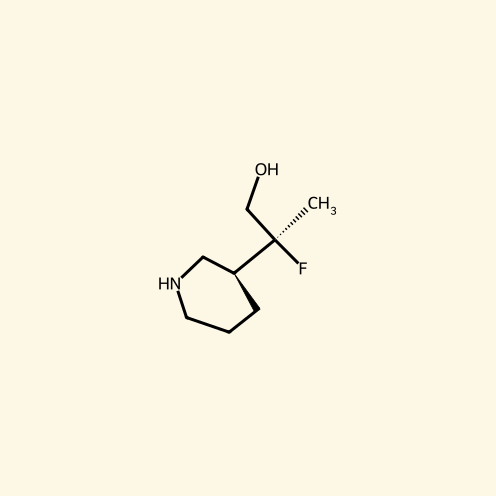 C[C@@](F)(CO)[C@H]1CCCNC1